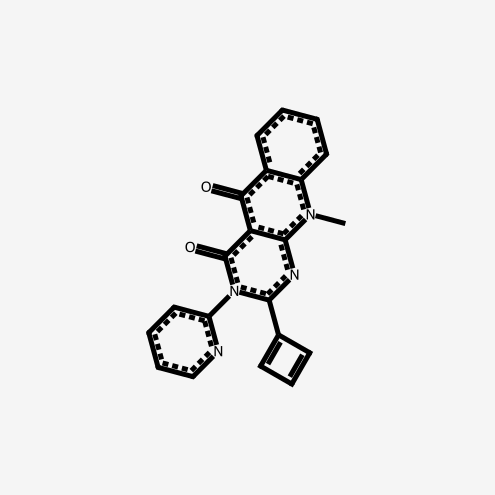 Cn1c2ccccc2c(=O)c2c(=O)n(-c3ccccn3)c(C3=CC=C3)nc21